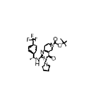 C[C@H](Nc1nc2c(c(=O)n1N1CCCC1)CN(C(=O)OC(C)(C)C)CC2)c1ccc(C(F)(F)F)cc1